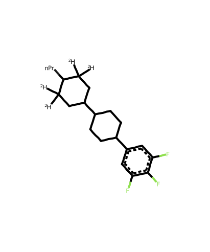 [2H]C1([2H])CC(C2CCC(c3cc(F)c(F)c(F)c3)CC2)CC([2H])([2H])C1CCC